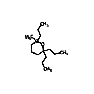 CCCC1(CCC)CCC[Si](C)(CCC)O1